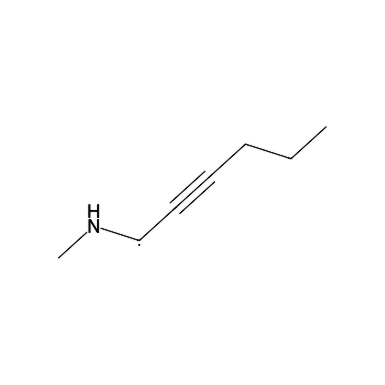 CCCC#C[CH]NC